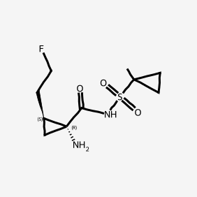 CC1(S(=O)(=O)NC(=O)[C@@]2(N)C[C@H]2CCF)CC1